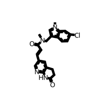 CN(Cc1cn(C)c2cc(Cl)ccc12)C(=O)C=Cc1cnc2c(c1)CCC(=O)N2